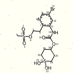 CS(=O)(=O)OCCc1ncc(Br)cc1NC(=O)OC1CCS(O)(O)CC1